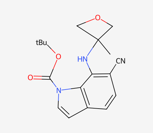 CC1(Nc2c(C#N)ccc3ccn(C(=O)OC(C)(C)C)c23)COC1